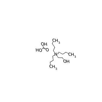 CCCC[N+](CCO)(CCCC)CCCC.O=C(O)O